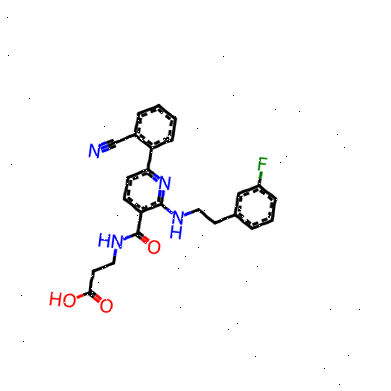 N#Cc1ccccc1-c1ccc(C(=O)NCCC(=O)O)c(NCCc2cccc(F)c2)n1